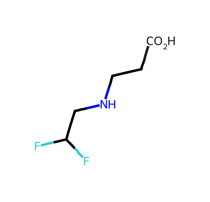 O=C(O)CCNCC(F)F